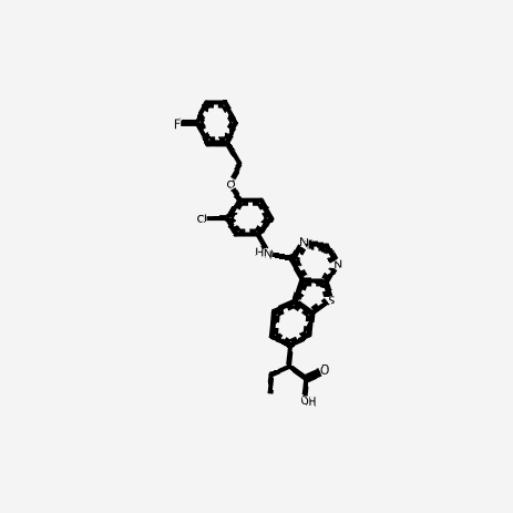 CCC(C(=O)O)c1ccc2c(c1)sc1ncnc(Nc3ccc(OCc4cccc(F)c4)c(Cl)c3)c12